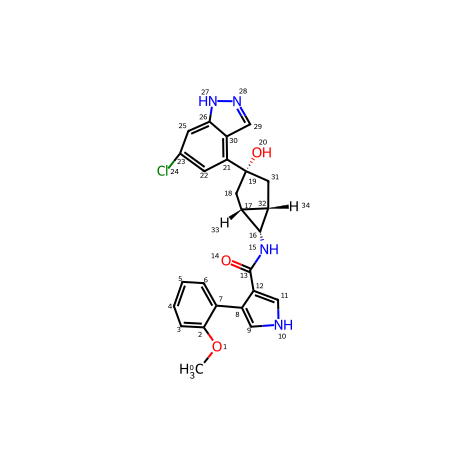 COc1ccccc1-c1c[nH]cc1C(=O)N[C@@H]1[C@@H]2C[C@@](O)(c3cc(Cl)cc4[nH]ncc34)C[C@@H]21